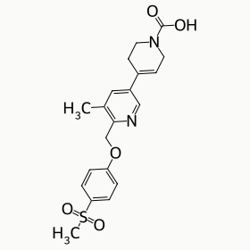 Cc1cc(C2=CCN(C(=O)O)CC2)cnc1COc1ccc(S(C)(=O)=O)cc1